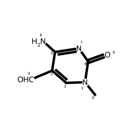 Cn1cc(C=O)c(N)nc1=O